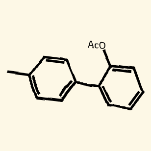 CC(=O)Oc1ccccc1-c1ccc(C)cc1